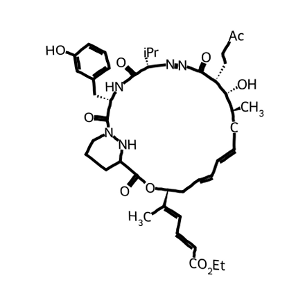 CCOC(=O)/C=C/C=C(\C)[C@@H]1C/C=C/C=C/C[C@H](C)[C@@H](O)[C@@H](CCC(C)=O)C(=O)N=N[C@@H](C(C)C)C(=O)N[C@@H](Cc2cccc(O)c2)C(=O)N2CCCC(N2)C(=O)O1